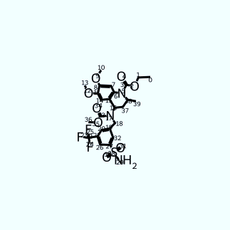 CCOC(=O)N1c2cc(OC)c(OC)cc2C(N(Cc2cc(C(F)(F)F)cc(S(N)(=O)=O)c2)C(=O)OC)CC1C